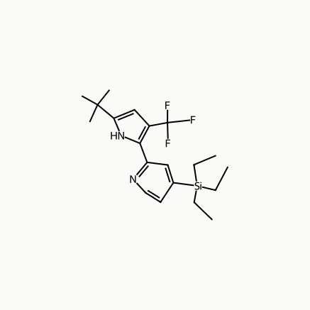 CC[Si](CC)(CC)c1ccnc(-c2[nH]c(C(C)(C)C)cc2C(F)(F)F)c1